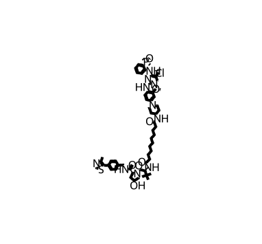 COc1cc(N2CCC(NC(=O)CCCCCCCCCC(=O)N[C@H](C(=O)N3C[C@H](O)C[C@H]3C(=O)NCc3ccc(-c4scnc4C)cc3)C(C)(C)C)CC2)ccc1Nc1ncc(Cl)c(Nc2ccccc2P(C)(C)=O)n1